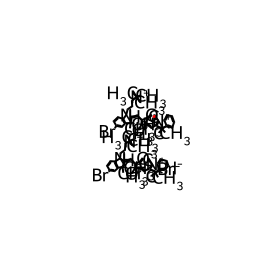 C[N+]1=C(/C=C2\C(=O)C(/C=C3/N(CCC[N+](C)(C)C)c4ccc(Br)cc4C3(C)C)=C2[O-])C(C)(C)c2ccccc21.C[N+]1=C(/C=C2\C(=O)C(/C=C3/N(CCC[N+](C)(C)C)c4ccc(Br)cc4C3(C)C)=C2[O-])C(C)(C)c2ccccc21.[Br-].[I-]